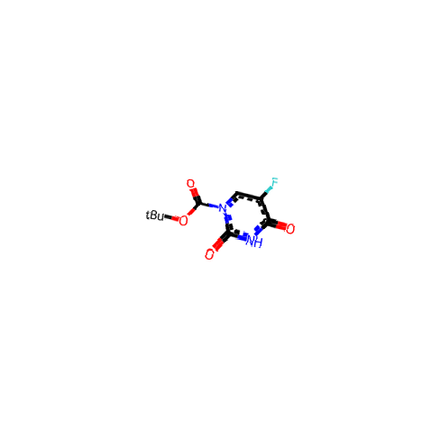 CC(C)(C)OC(=O)n1cc(F)c(=O)[nH]c1=O